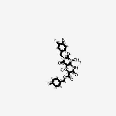 Cn1c2c(c(=O)n(Cc3ccc(F)c(F)c3)c1=O)[S+]([O-])C(C(=O)OCc1ccc(F)cc1)C(=O)N2